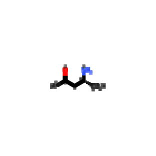 CC(C)C(=O)C[C@H](N)C(=O)O